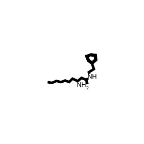 CCCCCCCC(N)CC(C)NCCc1ccccc1